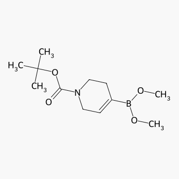 COB(OC)C1=CCN(C(=O)OC(C)(C)C)CC1